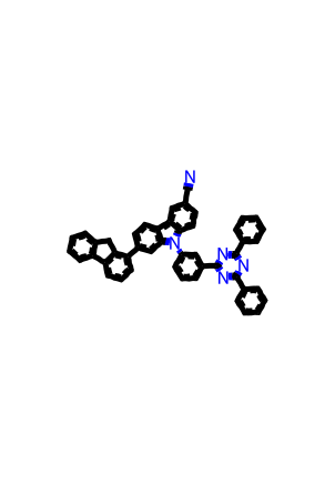 N#Cc1ccc2c(c1)c1ccc(-c3cccc4c3Cc3ccccc3-4)cc1n2-c1cccc(-c2nc(-c3ccccc3)nc(-c3ccccc3)n2)c1